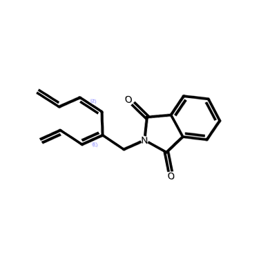 C=C/C=C\C(=C/C=C)CN1C(=O)c2ccccc2C1=O